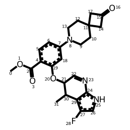 COC(=O)c1ccc(N2CCC3(CC2)CC(=O)C3)cc1OC1C=Nc2[nH]cc(F)c2C1C